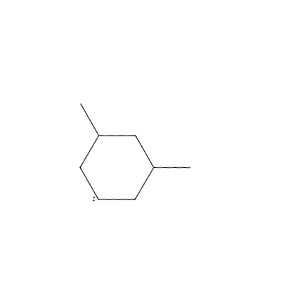 CC1C[C]CC(C)C1